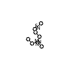 c1ccc(-c2cccc(-c3nc(-c4ccccc4)nc(-c4cccc(-c5ccc6ccc7sc(-c8ccccc8)nc7c6c5)c4)n3)c2)cc1